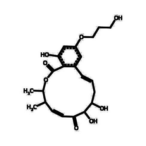 CC1/C=C\C(=O)C(O)C(O)C/C=C/c2cc(OCCCO)cc(O)c2C(=O)OC1C